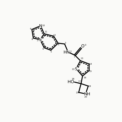 O=C(NCc1ccn2ccnc2c1)c1ccc(C2(O)CNC2)s1